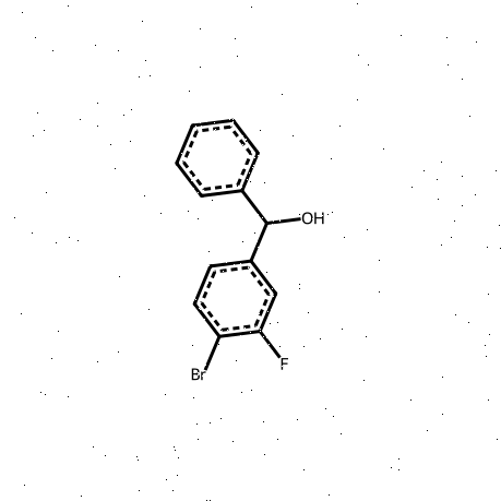 OC(c1ccccc1)c1ccc(Br)c(F)c1